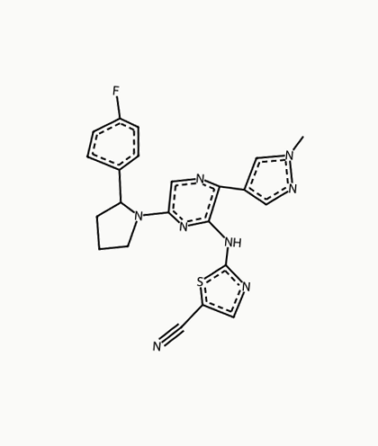 Cn1cc(-c2ncc(N3CCCC3c3ccc(F)cc3)nc2Nc2ncc(C#N)s2)cn1